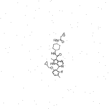 COCC(=O)N[C@@H]1CC[C@@H](NC(=O)c2c(C)[nH]c3c(-c4c(OCC5CC5)ccc(C)c4F)ncnc23)[C@H](C)C1